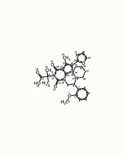 COc1ccccc1C(Cn1c(=O)n(C(C)(C)C(=O)O)c(=O)c2c(C)c(-c3ncco3)sc21)N1CCCCC1